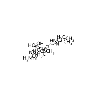 CC(C)[N+]([O-])(C[C@H]1OC(n2cnc3c(N)ncnc32)[C@H](O)[C@@H]1O)[C@H]1C[C@@H](CCc2nc3cc(C(C)(C)C)ccc3[nH]2)C1